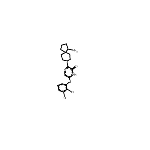 NC1CCCC12CCN(c1ncc(Sc3cccc(Cl)c3Cl)[nH]c1=O)CC2